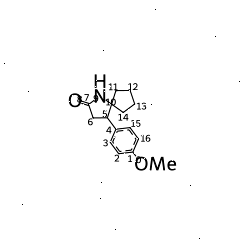 COc1ccc(C2CC(=O)NC23CCCC3)cc1